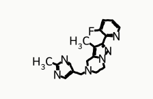 Cc1ncc(CN2CCn3nc(-c4ncccc4F)c(C)c3C2)cn1